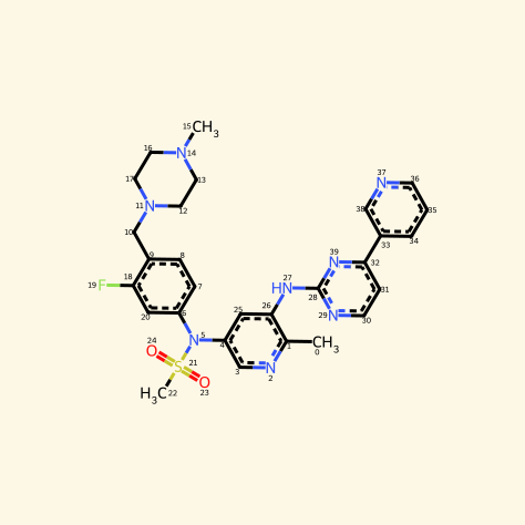 Cc1ncc(N(c2ccc(CN3CCN(C)CC3)c(F)c2)S(C)(=O)=O)cc1Nc1nccc(-c2cccnc2)n1